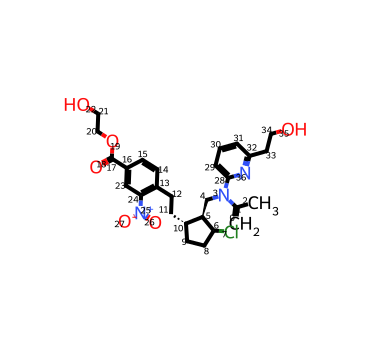 C=C(C)N(C[C@H]1C(Cl)CC[C@@H]1CCc1ccc(C(=O)OCCO)cc1[N+](=O)[O-])c1cccc(CCO)n1